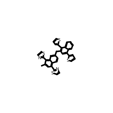 Cc1cc(-c2nccs2)c2ccc(Cc3cc(-c4cccs4)c4ccccc4c3-c3cccs3)cc2c1-c1nccs1